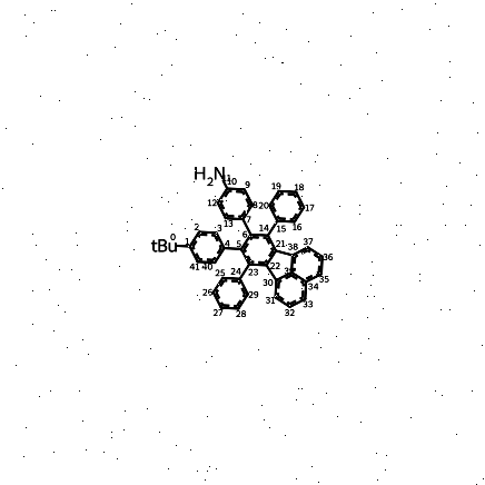 CC(C)(C)c1ccc(-c2c(-c3ccc(N)cc3)c(-c3ccccc3)c3c(c2-c2ccccc2)-c2cccc4cccc-3c24)cc1